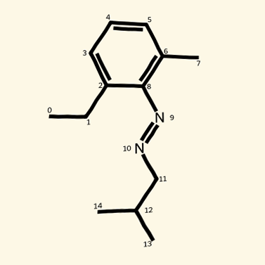 CCc1cccc(C)c1/N=N/CC(C)C